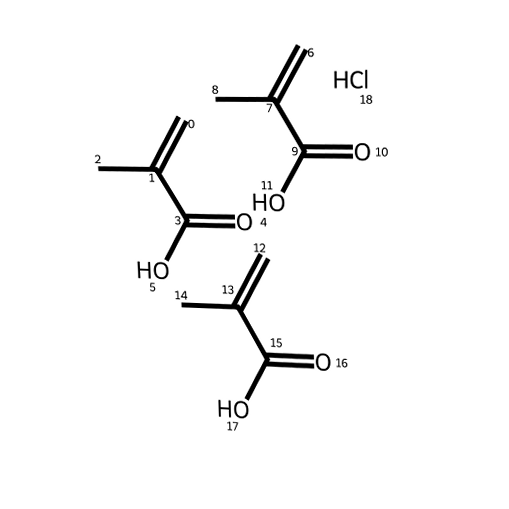 C=C(C)C(=O)O.C=C(C)C(=O)O.C=C(C)C(=O)O.Cl